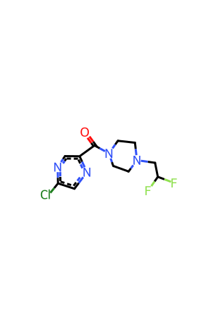 O=C(c1cnc(Cl)cn1)N1CCN(CC(F)F)CC1